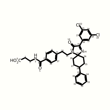 O=C(O)CCNC(=O)c1ccc(CCN2C(=O)C(c3cc(Cl)cc(Cl)c3)=NC23CCC(c2ccccc2)CC3)cc1